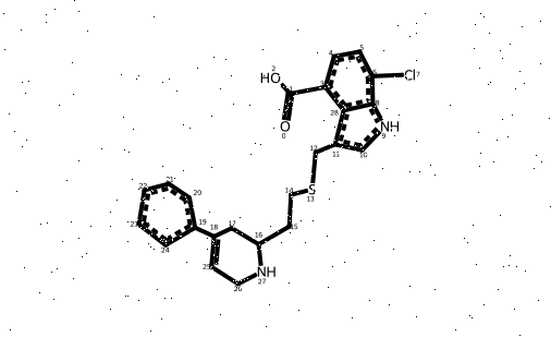 O=C(O)c1ccc(Cl)c2[nH]cc(CSCCC3CC(c4ccccc4)=CCN3)c12